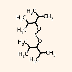 CC(C)C(OSOC(C(C)C)C(C)C)C(C)C